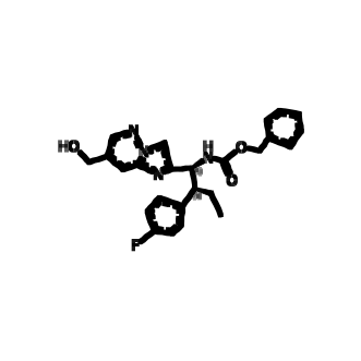 CC[C@@H](c1ccc(F)cc1)[C@H](NC(=O)OCc1ccccc1)c1cn2ncc(CO)cc2n1